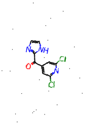 O=C(c1cc(Cl)nc(Cl)c1)c1ncc[nH]1